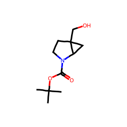 CC(C)(C)OC(=O)N1CCC2(CO)CC12